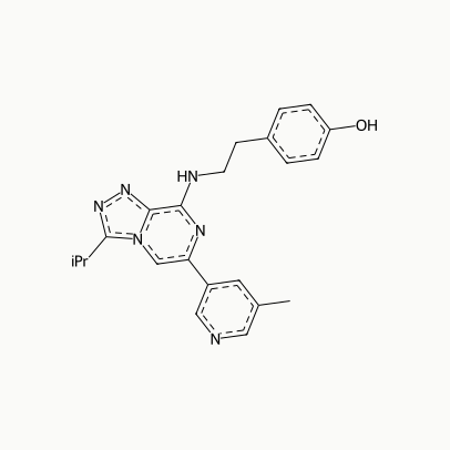 Cc1cncc(-c2cn3c(C(C)C)nnc3c(NCCc3ccc(O)cc3)n2)c1